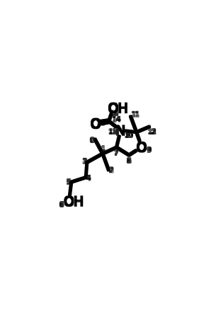 CC(C)(CCCO)C1COC(C)(C)N1C(=O)O